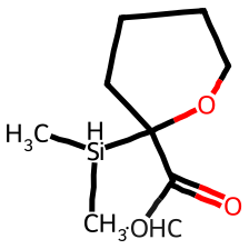 C[SiH](C)C1(C(=O)[C]=O)CCCCO1